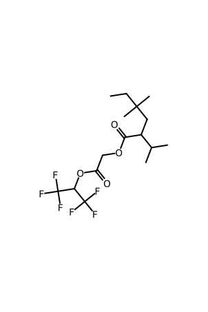 CCC(C)(C)CC(C(=O)OCC(=O)OC(C(F)(F)F)C(F)(F)F)C(C)C